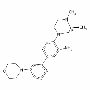 C[C@H]1CN(c2ccc(-c3cc(N4CCOCC4)ccn3)cc2N)CCN1C